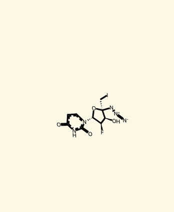 [N-]=[N+]=N[C@]1(CI)O[C@@H](n2ccc(=O)[nH]c2=O)[C@H](F)[C@@H]1O